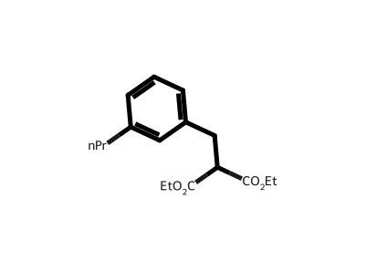 CCCc1cccc(CC(C(=O)OCC)C(=O)OCC)c1